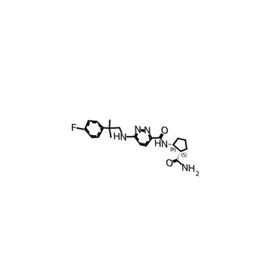 CC(C)(CNc1ccc(C(=O)N[C@@H]2CCC[C@@H]2C(N)=O)nn1)c1ccc(F)cc1